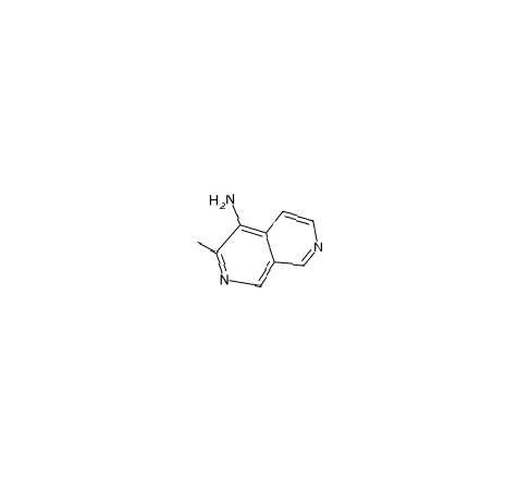 Cc1ncc2cnccc2c1N